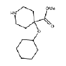 COC(=O)C1(OC2CCCCC2)CCNCC1